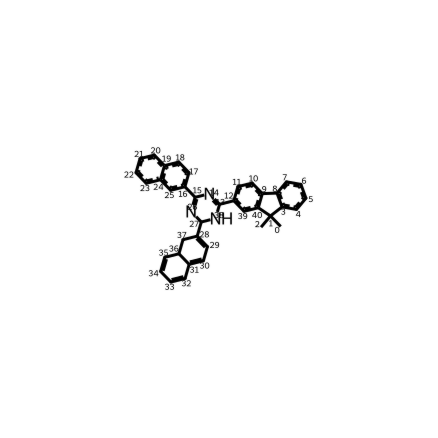 CC1(C)c2ccccc2-c2ccc(C3=NC(c4ccc5ccccc5c4)=NC(C4=CC=C5C=CC=CC5C4)N3)cc21